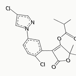 CC(C)C(=O)OC1=C(c2cc(-n3cc(Cl)cn3)ccc2Cl)C(=O)OC1(C)C